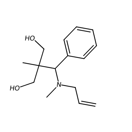 C=CCN(C)C(c1ccccc1)C(C)(CO)CO